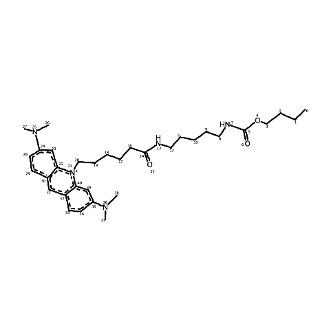 CCCCOC(=O)NCCCCCNC(=O)CCCCC[n+]1c2cc(N(C)C)ccc2cc2ccc(N(C)C)cc21